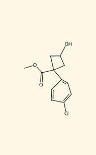 COC(=O)C1(c2ccc(Cl)cc2)CC(O)C1